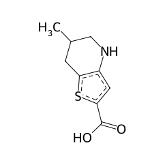 CC1CNc2cc(C(=O)O)sc2C1